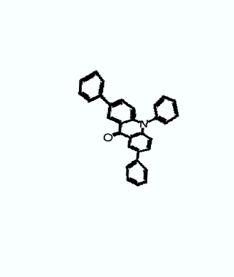 O=c1c2cc(-c3ccccc3)ccc2n(-c2ccccc2)c2ccc(-c3ccccc3)cc12